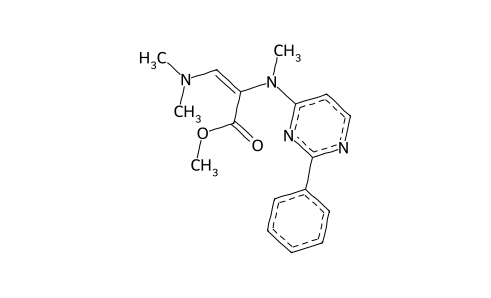 COC(=O)C(=CN(C)C)N(C)c1ccnc(-c2ccccc2)n1